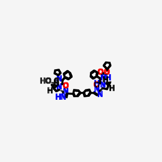 O=C(N[C@@H](C(=O)N1[C@@H]2C[C@H]2C[C@H]1c1ncc(-c2ccc(-c3ccc(-c4c[nH]c([C@@H]5C[C@H]6C[C@H]6N5C(=O)[C@@H](c5ccccc5)N(C(=O)O)C5CCCC5)n4)cc3)cc2)[nH]1)c1ccccc1)OC1CCCC1